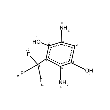 Nc1cc(O)c(N)c(C(F)(F)F)c1O